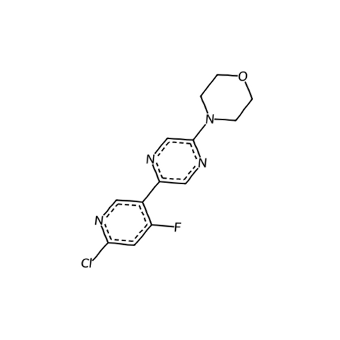 Fc1cc(Cl)ncc1-c1cnc(N2CCOCC2)cn1